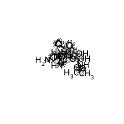 CC(C)S(=O)(=O)NC[C@H](O)C[C@H](O)[C@H](CC1CCCCC1)NC(=O)[C@H](Cc1c[nH]cn1)NC(=O)[C@H](Cc1ccccc1)NC(=O)N1CCC(N)CC1